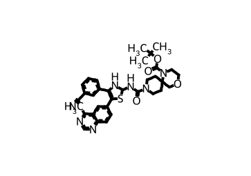 Cc1ncnc2ccc(C3=C(c4cccc(C#N)c4)NC(NC(=O)N4CCC5(CC4)COCCN5C(=O)OC(C)(C)C)S3)cc12